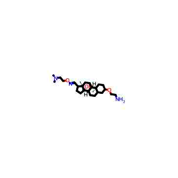 CN(C)CCON=CC1CC[C@@]2(O)[C@@H]3CCC4CC(OCCN)CC[C@]4(C)[C@@H]3CC[C@]12C